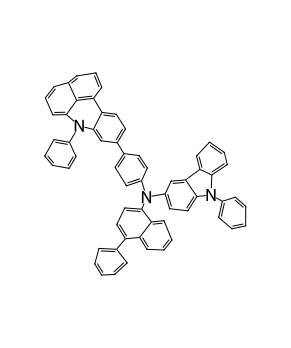 c1ccc(-c2ccc(N(c3ccc(-c4ccc5c(c4)N(c4ccccc4)c4cccc6cccc-5c46)cc3)c3ccc4c(c3)c3ccccc3n4-c3ccccc3)c3ccccc23)cc1